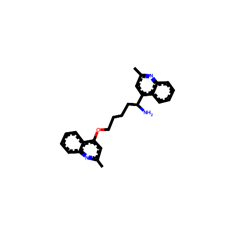 Cc1cc(OCCCCC(N)c2cc(C)nc3ccccc23)c2ccccc2n1